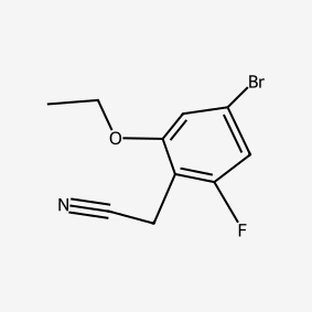 CCOc1cc(Br)cc(F)c1CC#N